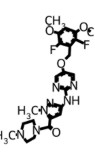 COc1cc(OC)c(F)c(COc2cnc(Nc3cc(C(=O)N4CCN(C)CC4)n(C)n3)nc2)c1F